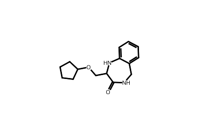 O=C1NCc2ccccc2NC1COC1CCCC1